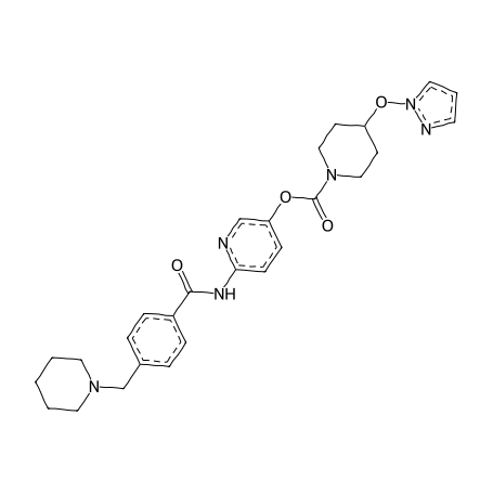 O=C(Nc1ccc(OC(=O)N2CCC(On3cccn3)CC2)cn1)c1ccc(CN2CCCCC2)cc1